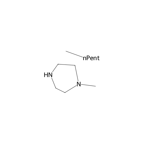 CCCCCC.CN1CCNCC1